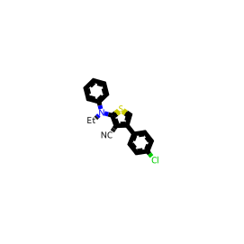 CCN(c1ccccc1)c1scc(-c2ccc(Cl)cc2)c1C#N